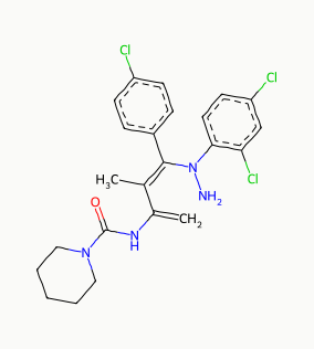 C=C(NC(=O)N1CCCCC1)/C(C)=C(/c1ccc(Cl)cc1)N(N)c1ccc(Cl)cc1Cl